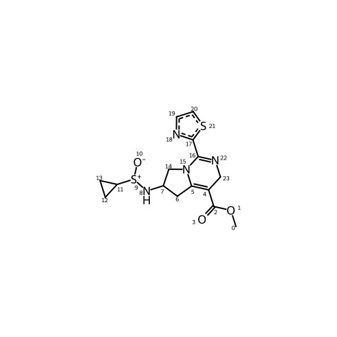 COC(=O)C1=C2CC(N[S+]([O-])C3CC3)CN2C(c2nccs2)=NC1